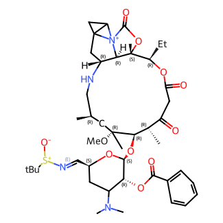 CC[C@H]1OC(=O)CC(=O)[C@H](C)[C@@H](O[C@@H]2O[C@H](/C=N/[S+]([O-])C(C)(C)C)CC(N(C)C)[C@H]2OC(=O)c2ccccc2)[C@](C)(OC)C[C@@H](C)CN[C@@H]2CC34CC3[N+]43C(=O)O[C@@]1(C)[C@@H]23